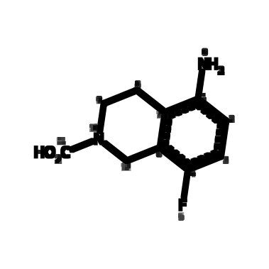 Nc1ccc(F)c2c1CCN(C(=O)O)C2